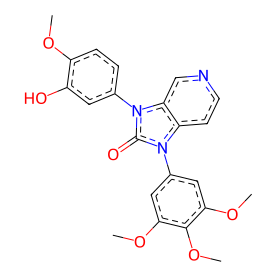 COc1ccc(-n2c(=O)n(-c3cc(OC)c(OC)c(OC)c3)c3ccncc32)cc1O